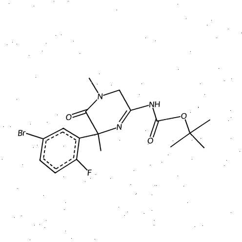 CN1CC(NC(=O)OC(C)(C)C)=NC(C)(c2cc(Br)ccc2F)C1=O